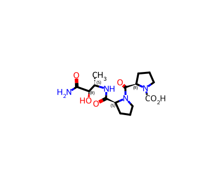 C[C@H](NC(=O)[C@@H]1CCCN1C(=O)[C@H]1CCCN1C(=O)O)[C@@H](O)C(N)=O